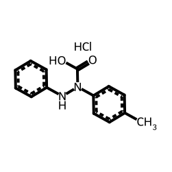 Cc1ccc(N(Nc2ccccc2)C(=O)O)cc1.Cl